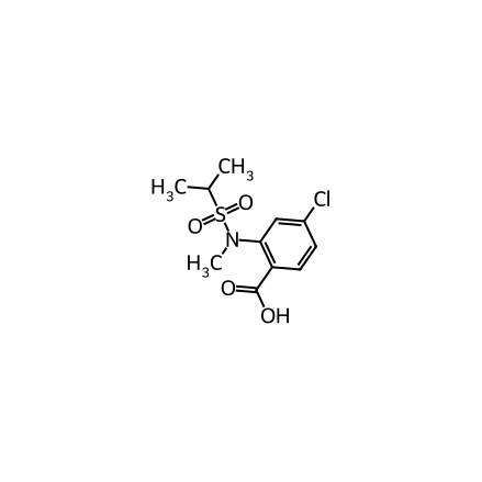 CC(C)S(=O)(=O)N(C)c1cc(Cl)ccc1C(=O)O